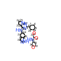 O=C(COc1cccc(-c2nc(Nc3ccc4[nH]ncc4c3)c3cccn3n2)c1)N[C@H]1CCOC1